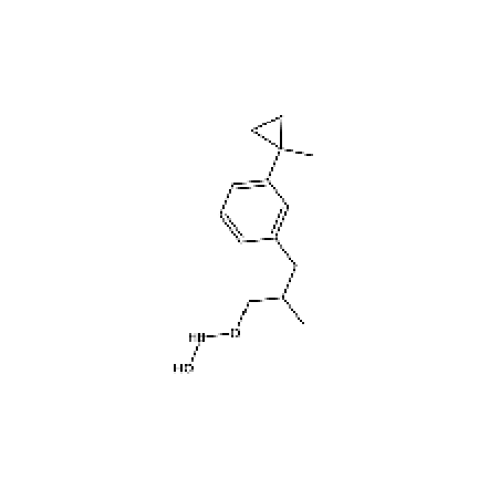 CC(COBO)Cc1cccc(C2(C)CC2)c1